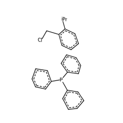 CC(C)c1ccccc1CCl.c1ccc(P(c2ccccc2)c2ccccc2)cc1